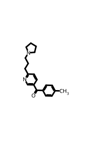 Cc1ccc(C(=O)c2ccc(CCCN3CCCC3)nc2)cc1